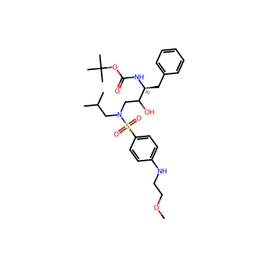 COCCNc1ccc(S(=O)(=O)N(CC(C)C)CC(O)[C@H](Cc2ccccc2)NC(=O)OC(C)(C)C)cc1